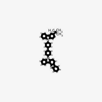 CC(C)(C)c1ccc2c(c1)c1ccccc1n2-c1ccc(-c2ccc(-n3c4ccccc4c4c5sc6ccccc6c5ccc43)cc2)cc1